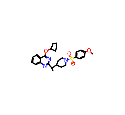 COc1ccc(S(=O)(=O)N2CCC(C(C)c3nc(OC4CCCC4)c4ccccc4n3)CC2)cc1